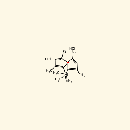 CCC1=CC(C)=[C]([Hf]([CH3])([CH3])(=[SiH2])[C]2=C(C)C=C(CC)C2)C1.Cl.Cl